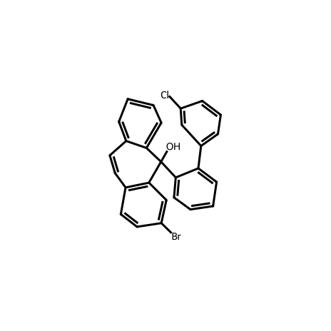 OC1(c2ccccc2-c2cccc(Cl)c2)c2ccccc2C=Cc2ccc(Br)cc21